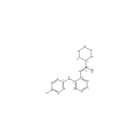 Cc1ccc(Sc2ncccc2/C=[N+](\[O-])C2CCCCC2)cc1